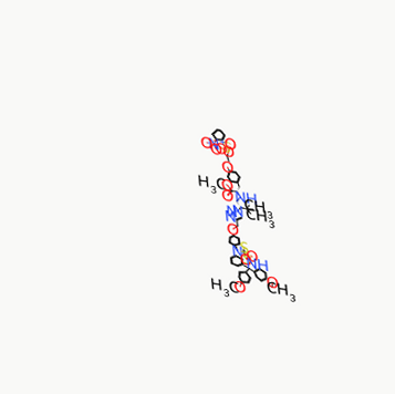 COC(=O)[C@H](Cc1ccc(OCCOS(=O)(=O)c2ccccc2[N+](=O)[O-])cc1)NC[C@H](C(C)C)n1cc(COc2ccc3nc(S(=O)(=O)NC(c4ccccc4)(c4ccc(OC)cc4)c4ccc(OC)cc4)sc3c2)nn1